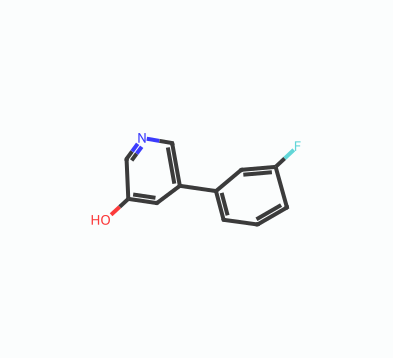 Oc1cncc(-c2cccc(F)c2)c1